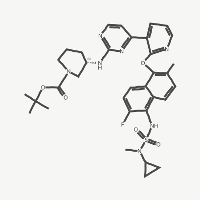 Cc1ccc2c(NS(=O)(=O)N(C)C3CC3)c(F)ccc2c1Oc1ncccc1-c1ccnc(N[C@H]2CCCN(C(=O)OC(C)(C)C)C2)n1